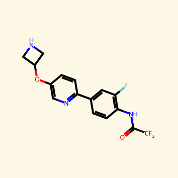 O=C(Nc1ccc(-c2ccc(OC3CNC3)cn2)cc1F)C(F)(F)F